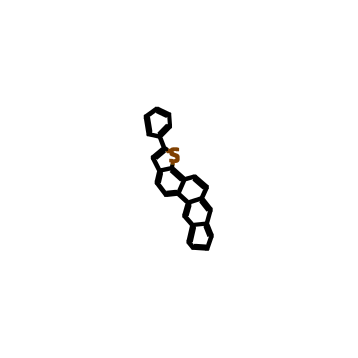 c1ccc(-c2cc3ccc4c5cc6ccccc6cc5ccc4c3s2)cc1